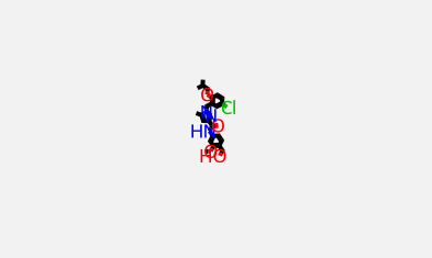 COc1cc(NC(=O)c2cc(C)n(Cc3cc(Cl)ccc3OCC(C)C)n2)ccc1CO